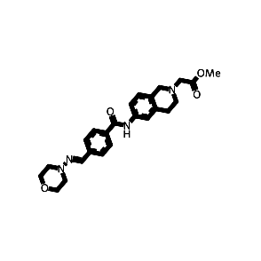 COC(=O)CN1CCc2cc(NC(=O)c3ccc(/C=N/N4CCOCC4)cc3)ccc2C1